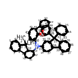 CC1(C)c2ccccc2-c2cccc(N(c3ccc4c(c3)C(c3ccccc3)(c3ccccc3)c3ccccc3-4)c3cccc4c3oc3ccccc34)c21